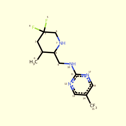 CC1CC(F)(F)CNC1CNc1ncc(C(F)(F)F)cn1